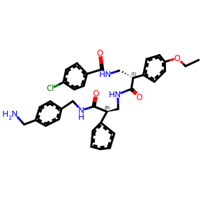 CCOc1ccc([C@@H](CNC(=O)c2ccc(Cl)cc2)C(=O)NC[C@H](C(=O)NCc2ccc(CN)cc2)c2ccccc2)cc1